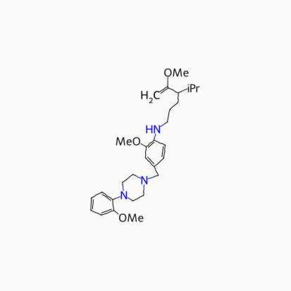 C=C(OC)C(CCCNc1ccc(CN2CCN(c3ccccc3OC)CC2)cc1OC)C(C)C